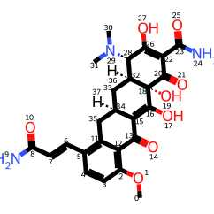 COc1ccc(C=CC(N)=O)c2c1C(=O)C1=C(O)[C@]3(O)C(=O)C(C(N)=O)=C(O)[C@@H](N(C)C)[C@@H]3C[C@@H]1C2